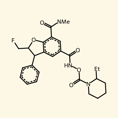 CCC1CCCCN1C(=O)ONC(=O)c1cc(C(=O)NC)c2c(c1)C(c1ccccc1)C(CF)O2